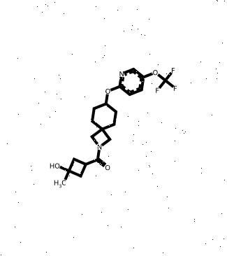 CC1(O)CC(C(=O)N2CC3(CCC(Oc4ccc(OC(F)(F)F)cn4)CC3)C2)C1